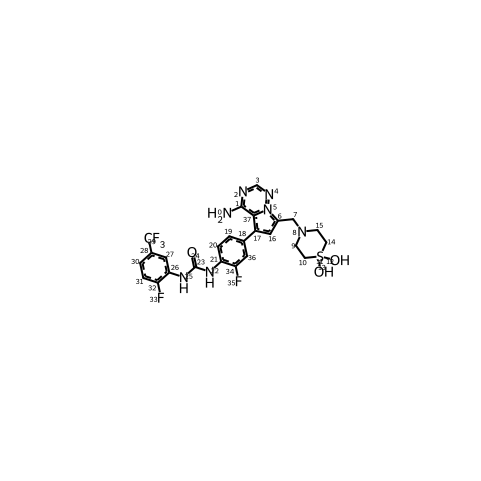 Nc1ncnn2c(CN3CCS(O)(O)CC3)cc(-c3ccc(NC(=O)Nc4cc(C(F)(F)F)ccc4F)c(F)c3)c12